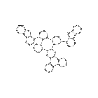 c1ccc2c(c1)-c1cc3c4ccccc4c4ccccc4c3cc1-c1cc(-c3cccc4c3sc3ccccc34)ccc1-c1cccc(-c3cccc4c3sc3ccccc34)c1-2